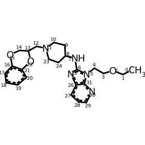 CCOCCn1c(NC2CCN(CC3COc4ccccc4O3)CC2)nc2cccnc21